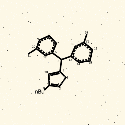 CCCCC1=CCC(C(c2cccc(C)c2)c2cccc(C)c2)=C1